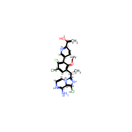 C=C(O)c1ccc(-c2c(F)c(Cl)cc([C@H](C)c3nc(Cl)c4c(N)nccn34)c2OC(C)C)cn1